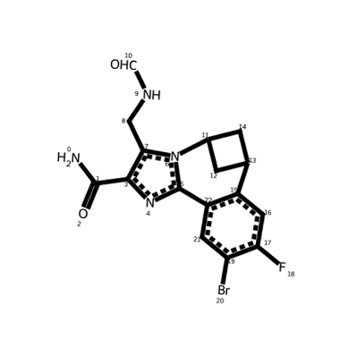 NC(=O)c1nc2n(c1CNC=O)C1CC(C1)c1cc(F)c(Br)cc1-2